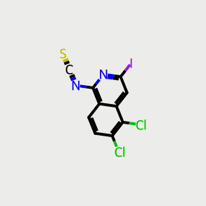 S=C=Nc1nc(I)cc2c(Cl)c(Cl)ccc12